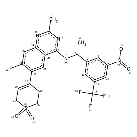 Cc1nc(N[C@H](C)c2cc([N+](=O)[O-])cc(C(F)(F)F)c2)c2cc(C3=CCS(=O)(=O)CC3)c(F)cc2n1